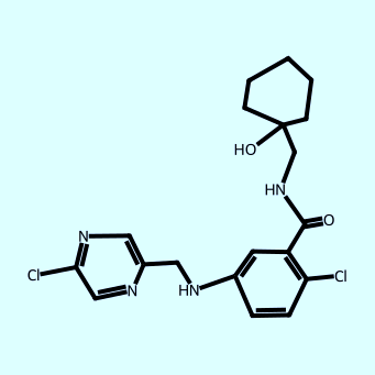 O=C(NCC1(O)CCCCC1)c1cc(NCc2cnc(Cl)cn2)ccc1Cl